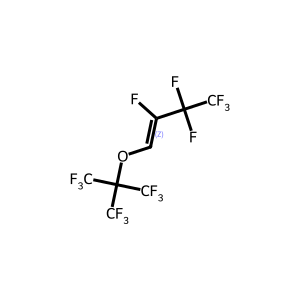 F/C(=C\OC(C(F)(F)F)(C(F)(F)F)C(F)(F)F)C(F)(F)C(F)(F)F